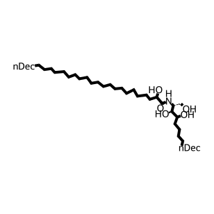 CCCCCCCCCCCCCCCCCCCCCCCCCCCCCCC(O)C(=O)N[C@H](CO)[C@H](O)C(O)CCCCCCCCCCCCCC